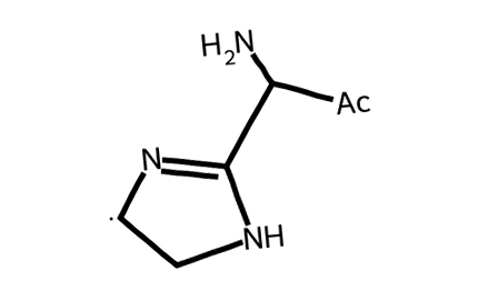 CC(=O)C(N)C1=N[CH]CN1